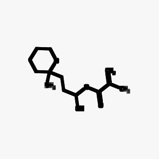 C=C(C)C(=O)OC(O)CCC1([SiH3])CCCCO1